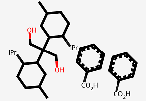 CC1CCC(C(C)C)C(C(CO)(CO)C2CC(C)CCC2C(C)C)C1.O=C(O)c1ccccc1.O=C(O)c1ccccc1